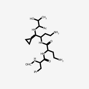 CC(=O)C(NC(=C1CC1)C(CCN)NC(=O)C(CCN)NC(=O)C(CC(C)C)NC=O)C(C)O